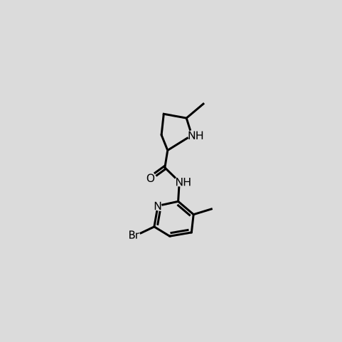 Cc1ccc(Br)nc1NC(=O)C1CCC(C)N1